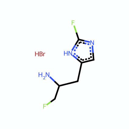 Br.NC(CF)Cc1cnc(F)[nH]1